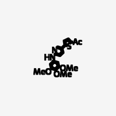 COc1cc(Nc2ccc(-c3ccc(C(C)=O)s3)cn2)cc(OC)c1OC